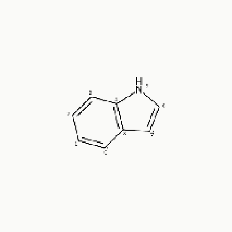 [c]1cccc2[nH]c[c]c12